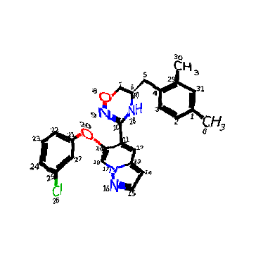 Cc1ccc(C[C@@H]2CON=C(c3cc4ccnn4cc3Oc3cccc(Cl)c3)N2)c(C)c1